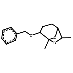 CC1OC2(C)OC1CCC2OCc1ccccc1